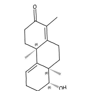 CC1=C2CC[C@]3(C)C(=CCC[C@H]3O)[C@@]2(C)CCC1=O